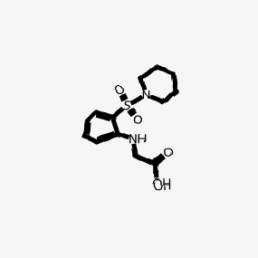 O=C(O)CNc1ccccc1S(=O)(=O)N1CCCCC1